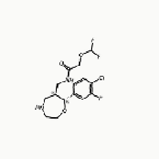 O=C(COC(F)F)NC[C@@H]1CNCCO[C@H]1c1ccc(Cl)c(F)c1